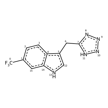 FC(F)(F)c1ccc2c(Cc3nnn[nH]3)[c][nH]c2c1